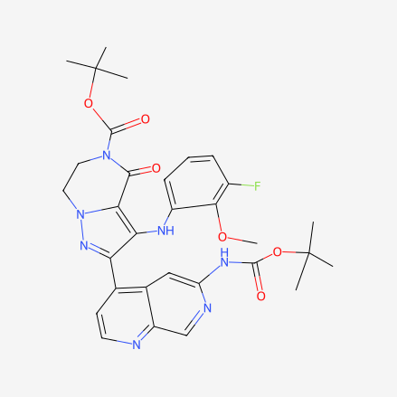 COc1c(F)cccc1Nc1c(-c2ccnc3cnc(NC(=O)OC(C)(C)C)cc23)nn2c1C(=O)N(C(=O)OC(C)(C)C)CC2